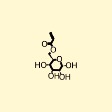 C=CC(=O)OC[C@H]1O[C@H](O)[C@H](O)[C@@H](O)[C@H]1O